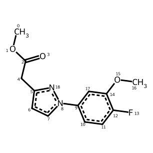 COC(=O)Cc1ccn(-c2ccc(F)c(OC)c2)n1